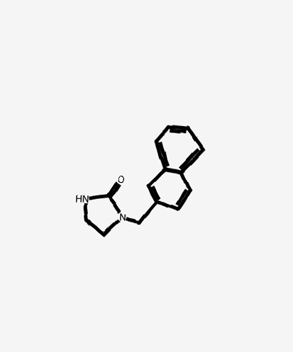 O=C1NCCN1Cc1ccc2ccccc2c1